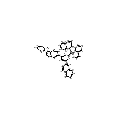 C1=Cc2oc3c(ccc4cc(-c5cc(-c6ccc7ccccc7c6)cc(N(c6cccc7ccccc67)c6cccc7ccccc67)c5)ccc43)c2CC1